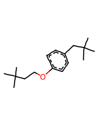 CC(C)(C)CCOc1ccc(CC(C)(C)C)cc1